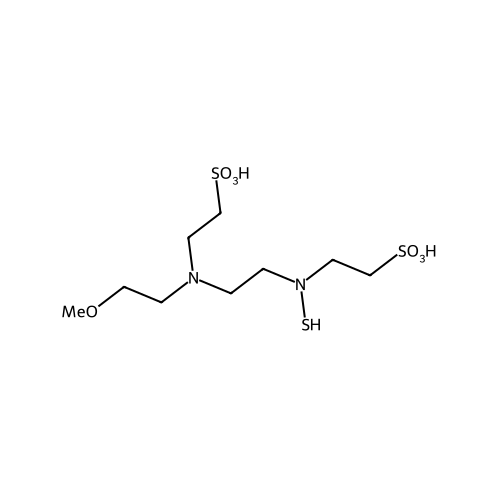 COCCN(CCN(S)CCS(=O)(=O)O)CCS(=O)(=O)O